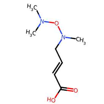 CN(C)ON(C)CC=CC(=O)O